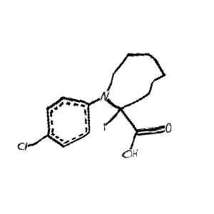 O=C(O)C1(I)CCCCCN1c1ccc(Cl)cc1